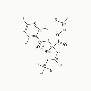 Cc1cc(C)c(C(=O)CC(CC(C)CC(C)(C)C)(P=O)C(=O)OCC(C)C)c(C)c1